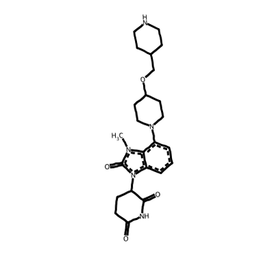 Cn1c(=O)n(C2CCC(=O)NC2=O)c2cccc(N3CCC(OCC4CCNCC4)CC3)c21